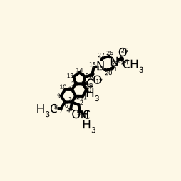 CCCC1(CO)C(CC)CCC2C3CCC(C(=O)CN4CCN(C(C)=O)CC4)C3(C)CCC21